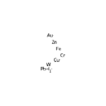 [Au].[Cr].[Cu].[Fe].[PbH2].[W].[Zn]